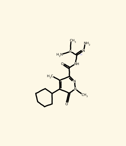 Cc1c(C(=O)N/C(=N/N)N(C)N)nn(C)c(=O)c1C1CCCCC1